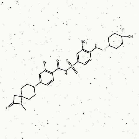 CC1C(=O)CC12CCN(c1ccc(C(=O)NS(=O)(=O)c3ccc(NC[C@H]4CC[C@](C)(O)CC4)c([N+](=O)[O-])c3)c(Br)c1)CC2